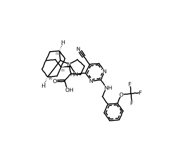 N#Cc1cnc(NCc2ccccc2OC(F)(F)F)nc1NC[C@]12CC3C[C@H](C1)C(N1CCCC1C(=O)O)[C@@H](C3)C2